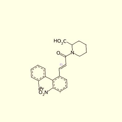 CC(C)c1ccccc1-c1c([N+](=O)[O-])[c]ccc1/C=C/C(=O)N1CCCCC1C(=O)O